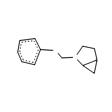 c1ccc(OCN2CCC3CC32)cc1